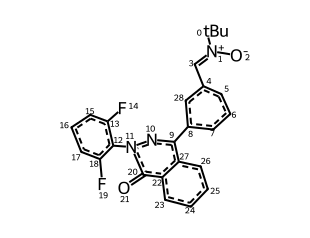 CC(C)(C)/[N+]([O-])=C/c1cccc(-c2nn(-c3c(F)cccc3F)c(=O)c3ccccc23)c1